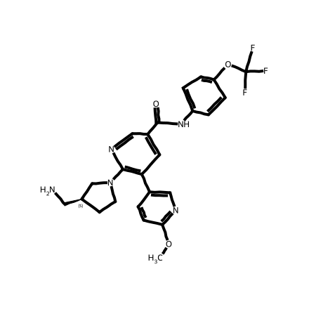 COc1ccc(-c2cc(C(=O)Nc3ccc(OC(F)(F)F)cc3)cnc2N2CC[C@@H](CN)C2)cn1